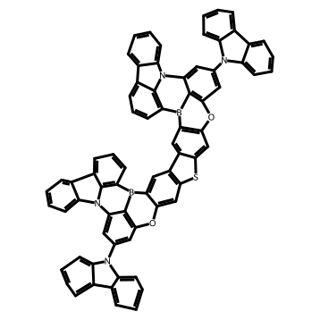 c1ccc2c(c1)c1ccccc1n2-c1cc2c3c(c1)-n1c4ccccc4c4cccc(c41)B3c1cc3c(cc1O2)sc1cc2c(cc13)B1c3c(cc(-n4c5ccccc5c5ccccc54)cc3-n3c4ccccc4c4cccc1c43)O2